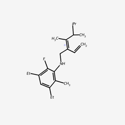 C=C/C(CNc1c(C)c(CC)cc(CC)c1F)=C(/C)C(C)C(C)C